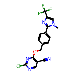 Cn1cc(C(F)(F)F)nc1-c1ccc(COc2nc(Cl)ncc2C#N)cc1